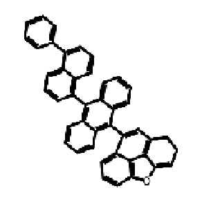 C1=c2oc3cccc4c(-c5c6ccccc6c(-c6cccc7c(-c8ccccc8)cccc67)c6ccccc56)cc(c2c34)CC1